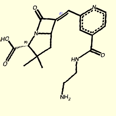 CC1(C)CC2/C(=C\c3cc(C(=O)NCCN)ccn3)C(=O)N2[C@H]1C(=O)O